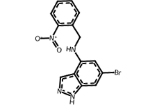 O=[N+]([O-])c1ccccc1CNc1cc(Br)cc2[nH]ncc12